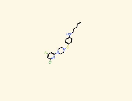 C=CCCCNc1ccc(SN2CCN(c3cc(F)cc(Cl)n3)CC2)cc1